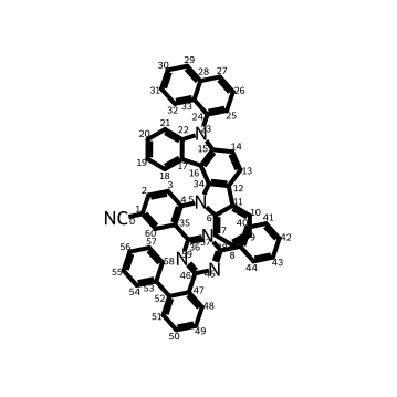 N#Cc1ccc(-n2c3ccccc3c3ccc4c(c5ccccc5n4-c4cccc5ccccc45)c32)c(-c2nc(-c3ccccc3)nc(-c3ccccc3-c3ccccc3)n2)c1